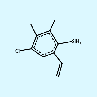 C=Cc1cc(Cl)c(C)c(C)c1[SiH3]